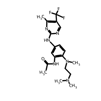 CC(=O)Nc1cc(Nc2ncc(C(F)(F)F)c(C)n2)ccc1N(C)CCN(C)C